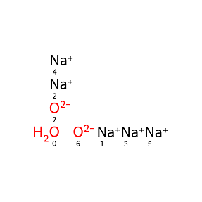 O.[Na+].[Na+].[Na+].[Na+].[Na+].[O-2].[O-2]